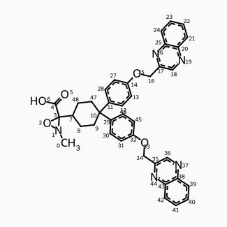 CN1OC1(C(=O)O)C1CCC(c2ccc(OCc3cnc4ccccc4n3)cc2)(c2ccc(OCc3cnc4ccccc4n3)cc2)CC1